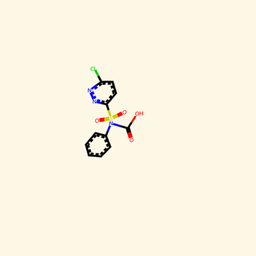 O=C(O)N(c1ccccc1)S(=O)(=O)c1ccc(Cl)nn1